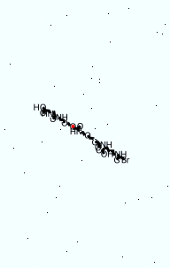 O=C(O)CNCC(=O)NCCOCCOCC(=O)NCCOCCOCC(=O)NC(CCCCNC(=O)CBr)C(=O)O